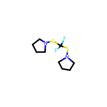 FC(F)(SN1CCCC1)SN1CCCC1